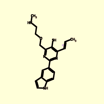 C/C=C/c1nc(-c2ccc3[nH]ccc3c2)nc(COCCNC)c1S